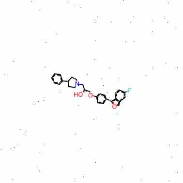 O[C@@H](COc1ccc(-c2occ3cc(F)ccc23)cc1)CN1CCC(c2ccccc2)CC1